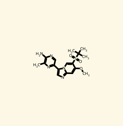 COc1cc2ncc(-c3cnc(N)c(C)n3)n2cc1S(=O)(=O)C(C)(C)C